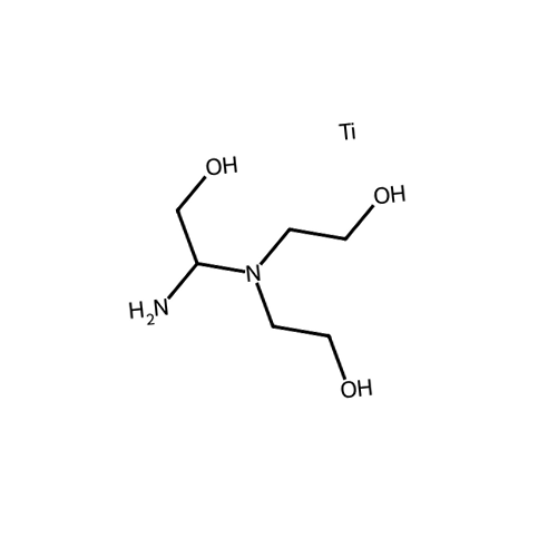 NC(CO)N(CCO)CCO.[Ti]